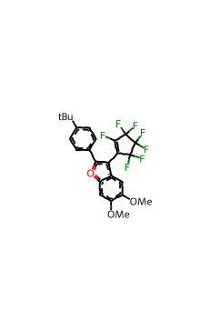 COc1cc2oc(-c3ccc(C(C)(C)C)cc3)c(C3=C(F)C(F)(F)C(F)(F)C3(F)F)c2cc1OC